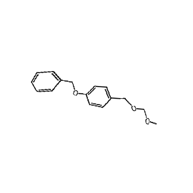 COCOCc1ccc(OCc2ccccc2)cc1